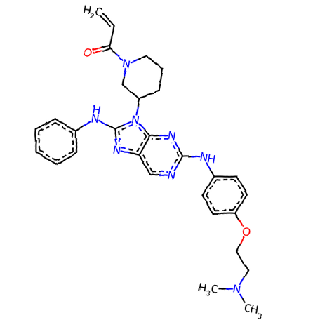 C=CC(=O)N1CCCC(n2c(Nc3ccccc3)nc3cnc(Nc4ccc(OCCN(C)C)cc4)nc32)C1